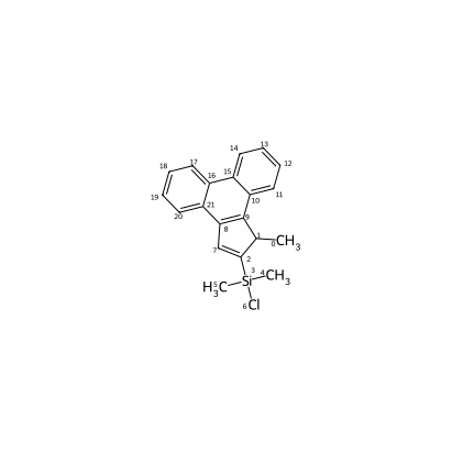 CC1C([Si](C)(C)Cl)=Cc2c1c1ccccc1c1ccccc21